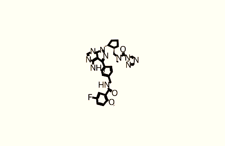 COc1ccc(F)cc1C(=O)NCc1ccc(-c2nn(C[C@@H]3CCC[C@H]3CN(C)C(=O)n3cncn3)c3ncnc(N)c23)cc1